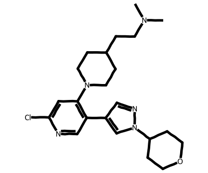 CN(C)CCC1CCN(c2cc(Cl)ncc2-c2cnn(C3CCOCC3)c2)CC1